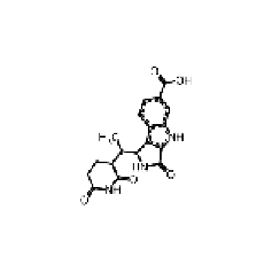 C[C](C1CCC(=O)NC1=O)C1NC(=O)c2[nH]c3cc(C(=O)O)ccc3c21